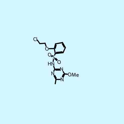 COc1nc(C)nc(NS(=O)(=O)c2ccccc2OCCCl)n1